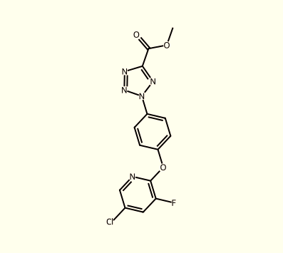 COC(=O)c1nnn(-c2ccc(Oc3ncc(Cl)cc3F)cc2)n1